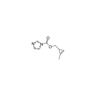 CC1=CC1COC(=O)n1ccnc1